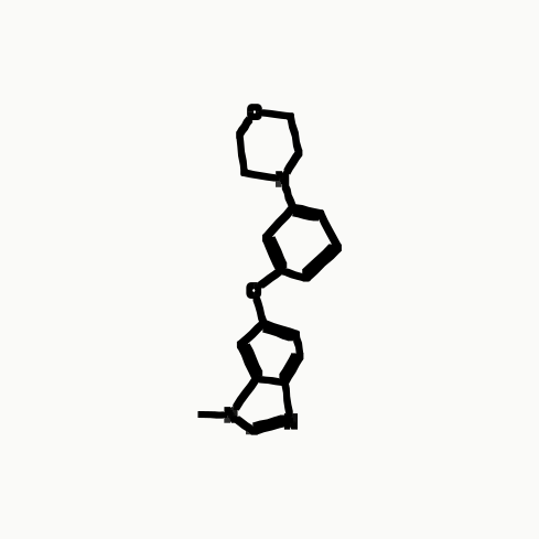 Cn1[c]nc2ccc(Oc3cccc(N4CCOCC4)c3)cc21